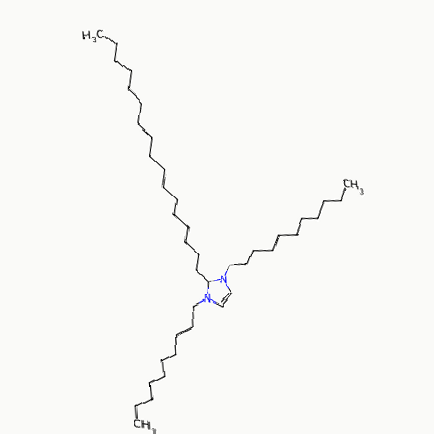 CCCCCCCCCCCCCCCCCC1N(CCCCCCCCCC)C=CN1CCCCCCCCCCC